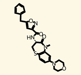 CN1C(=O)[C@@H](NC(=O)c2cc(Cc3ccccc3)on2)CSc2ccc(N3CCOCC3)cc21